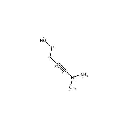 CN(C)C#CCCO